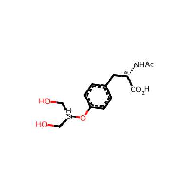 CC(=O)N[C@@H](Cc1ccc(O[SiH](CO)CO)cc1)C(=O)O